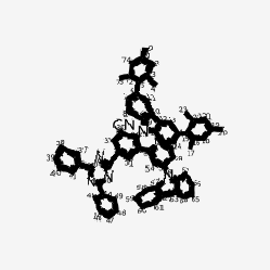 Cc1cc(C)c(-c2ccc3c(c2)c2cc(-c4c(C)cc(C)cc4C)ccc2n3-c2c(C#N)cc(-c3nc(-c4ccccc4)nc(-c4ccccc4)n3)cc2-c2cc(-n3c4ccccc4c4ccccc43)ccn2)c(C)c1